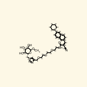 CO[C@H]1O[C@H](Cn2cc(COCCOCCOCCNC(=O)C(C#N)=Cc3ccc4cc(N5CCCCC5)ccc4c3)nn2)[C@@H](O)[C@H](O)[C@H]1O